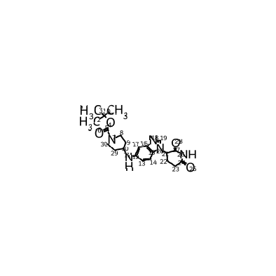 CC(C)(C)OC(=O)N1CCC(Nc2ccc3c(c2)ncn3C2CCC(=O)NC2=O)CC1